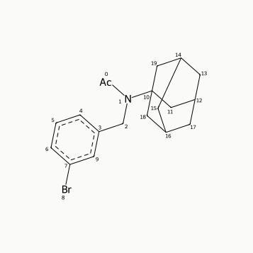 CC(=O)N(Cc1cccc(Br)c1)C12CC3CC(CC(C3)C1)C2